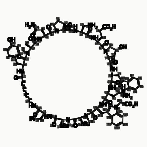 CCCC[C@H]1C(=O)N(C)[C@@H](CCCC)C(=O)N[C@@H](CC(C)C)C(=O)NCCCCC(=O)N[C@@H](Cc2ccc(O)cc2)C(=O)N(C)[C@@H](C)C(=O)N[C@@H](CC(N)=O)C(=O)N2CCC[C@H]2C(=O)N[C@@H](CN)C(=O)N[C@@H](CCC(=O)O)C(=O)N2C[C@H](O)C[C@H]2C(=O)N[C@@H](Cc2c[nH]c3ccccc23)C(=O)N[C@@H](CCN)C(=O)N/C(=C\c2cn(CC(=O)O)c3ccccc23)C(=O)N1C